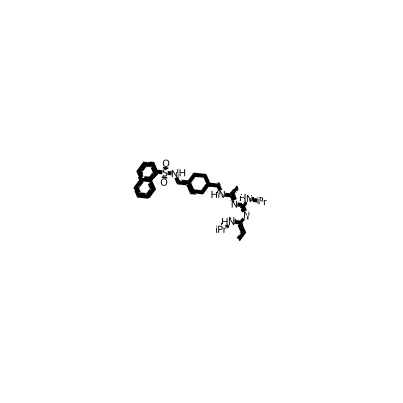 CC=C(/N=C(\N=C(/C)NCC1CCC(CNS(=O)(=O)c2cccc3ccccc23)CC1)NC(C)C)NC(C)C